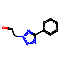 O=[C]Cn1nnc(-c2ccccc2)n1